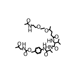 CC(=O)CNC(=O)OCc1ccc(NC(=O)C(C)NC(=O)C(NC(=O)CCC(C)OCCOCCNC(C)=O)C(C)C)cc1